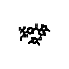 CCNC(c1ccc(Nc2cc(Oc3cnc(C)cc3C)nc3c2ncn3C)nc1)C(F)(F)F